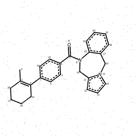 CC1=C(c2ccc(C(=O)N3Cc4cccn4Cc4ccccc43)cc2)CCCC1